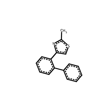 Cc1nc(-c2ccccc2-c2ccccc2)cs1